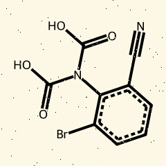 N#Cc1cccc(Br)c1N(C(=O)O)C(=O)O